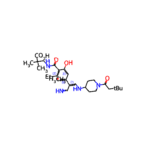 C/C=C(\C=C(O)/C(C(=O)NCC(C)(C)C(=O)O)=C(\C)CC)C(/C=N)=C/NC1CCN(C(=O)CC(C)(C)C)CC1